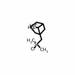 CC1(C)C2CCCC1(C[Si](C)(C)Cl)C2